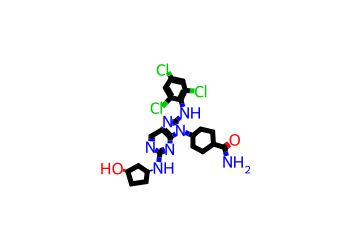 NC(=O)C1CCC(n2c(Nc3c(Cl)cc(Cl)cc3Cl)nc3cnc(N[C@@H]4CC[C@@H](O)C4)nc32)CC1